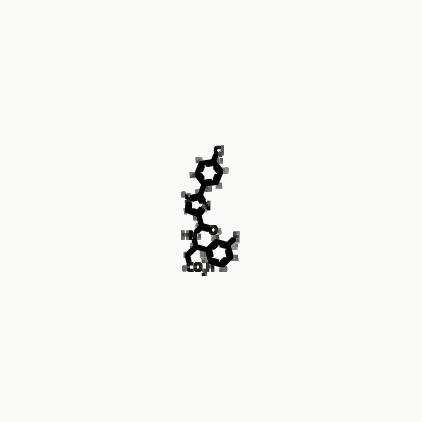 O=C(O)CC(NC(=O)c1csc(-c2ccc(Cl)cc2)n1)c1cccc(F)c1